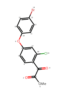 COC(=O)C(=O)c1ccc(Oc2ccc(Br)cc2)cc1Cl